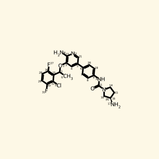 CC(Oc1cc(-c2ccc(NC(=O)N3CC[C@@H](N)C3)cc2)cnc1N)c1c(F)ccc(F)c1Cl